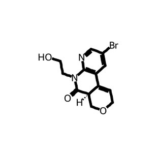 O=C1[C@@H]2COCC=C2c2cc(Br)cnc2N1CCO